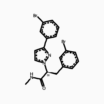 CNC(=O)[C@H](Cc1cccc(Br)c1)n1ccc(-c2cccc(Br)c2)n1